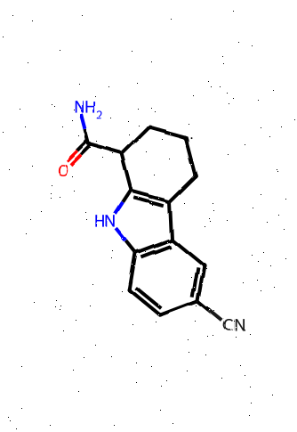 N#Cc1ccc2[nH]c3c(c2c1)C[CH]CC3C(N)=O